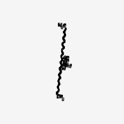 CCCCCCCCCCCCCCCCCCCCCCCC.N=C=O.N=C=O